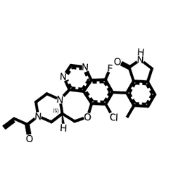 C=CC(=O)N1CCN2c3ncnc4c(F)c(-c5c(C)ccc6c5C(=O)NC6)c(Cl)c(c34)OC[C@@H]2C1